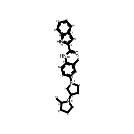 Cc1cc(N2CCC(N3CCCC3C)C2)ccc1NC(=O)c1cc2ccccc2[nH]1